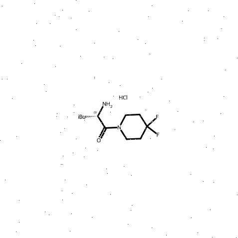 CCC(C)[C@H](N)C(=O)N1CCC(F)(F)CC1.Cl